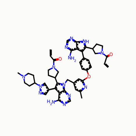 C=CC(=O)N1CCC(c2[nH]c3ncnc(N)c3c2-c2ccc(Oc3cc(Cn4c(C5CCN(C(=O)C=C)C5)c(-c5cnn(C6CCN(C)CC6)c5)c5c(N)ncnc54)cc(C)n3)cc2)C1